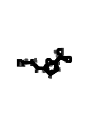 CCSCc1ccc(C(=O)Cl)o1